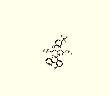 CCC(Oc1ccc(C(F)(F)F)cn1)C1CC(C)CN1C(=O)c1cccc(F)c1-c1ncccn1